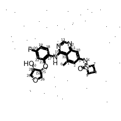 Cc1cc(N=S2(=O)CCC2)cc2ncnc(Nc3ccc(F)cc3O[C@H]3COC[C@@H]3O)c12